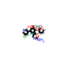 NC1=NCC(F)(F)[C@]2(C[C@]3(CCCOC3)Oc3ccc(-c4cncc(Cl)c4)cc32)O1.O=CO